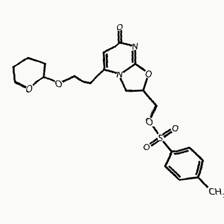 Cc1ccc(S(=O)(=O)OCC2Cn3c(CCOC4CCCCO4)cc(=O)nc3O2)cc1